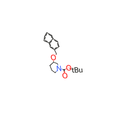 CC(C)(C)OC(=O)N1CCCC(OCc2ccc3ccccc3c2)C1